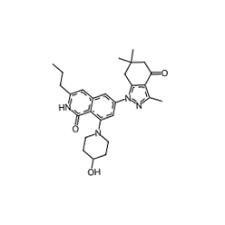 CCCc1cc2cc(-n3nc(C)c4c3CC(C)(C)CC4=O)cc(N3CCC(O)CC3)c2c(=O)[nH]1